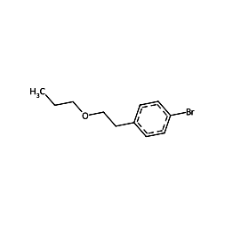 CCCOCCc1ccc(Br)cc1